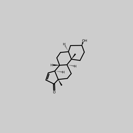 C[C@]12CC[C@H](O)C[C@@H]1CC[C@@H]1[C@@H]2CC[C@]2(C)C(=O)C=C[C@@H]12